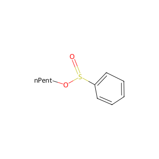 CCCCCOS(=O)c1ccccc1